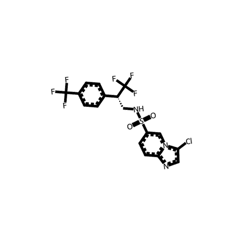 O=S(=O)(NC[C@H](c1ccc(C(F)(F)F)cc1)C(F)(F)F)c1ccc2ncc(Cl)n2c1